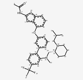 CC(=O)Nc1nc2c(Oc3cc(-c4ccc(C(F)(F)F)nc4N(C)C[C@H]4CCCCN4CC(C)C)ncn3)cccc2s1